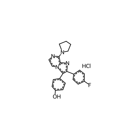 Cl.Oc1ccc(-c2c(-c3ccc(F)cc3)nc3c(N4CCCC4)nccn23)cc1